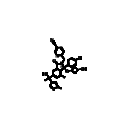 Cn1cc(C(C)(O)c2cc(F)c3c(c2)C(=O)N(Cc2ccc(C#N)cn2)[C@@]3(O[C@H]2C[C@@H](O)C2)c2ccc(Cl)cc2)cn1